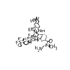 CCOc1cc2[nH]ncc2cc1Nc1ncnc2sc3c(c12)CCC(C(=O)N(C)CCN)C3.O=C(O)C(F)(F)F.O=C(O)C(F)(F)F